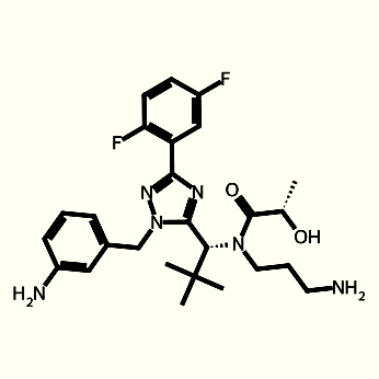 C[C@H](O)C(=O)N(CCCN)[C@@H](c1nc(-c2cc(F)ccc2F)nn1Cc1cccc(N)c1)C(C)(C)C